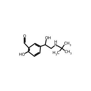 CC(C)(C)NCC(O)c1ccc(O)c(C=O)c1